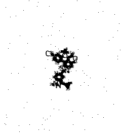 CC(=O)[C@@H](OC(C)(C)C)c1c(C)cc2nc(-c3ccc4c(c3)c(C3CC3)nn4C)sc2c1-c1ccc(Cl)cc1